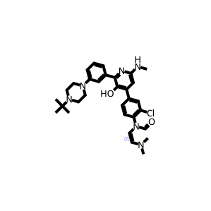 CNc1cc(-c2ccc(N(C=O)/C=C\N(C)C)c(Cl)c2)c(O)c(-c2cccc(N3CCN(C(C)(C)C)CC3)c2)n1